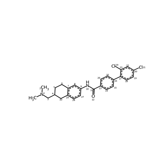 CN(C)CC1CCc2cc(NC(=O)c3ccc(-c4ccc(Cl)cc4Cl)cc3)ccc2C1